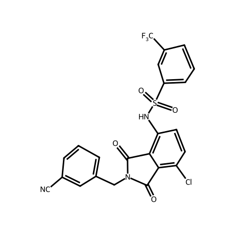 N#Cc1cccc(CN2C(=O)c3c(Cl)ccc(NS(=O)(=O)c4cccc(C(F)(F)F)c4)c3C2=O)c1